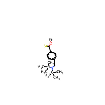 CCOC(=S)c1ccc(CN([Si](C)(C)C)[Si](C)(C)C)cc1